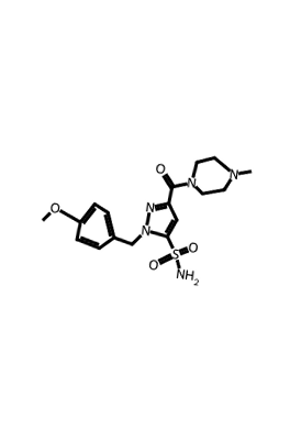 COc1ccc(Cn2nc(C(=O)N3CCN(C)CC3)cc2S(N)(=O)=O)cc1